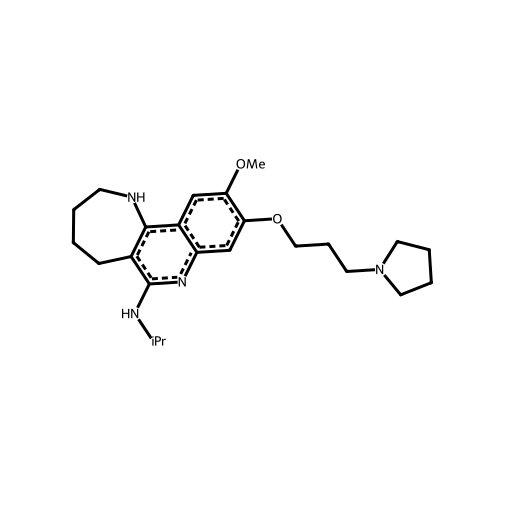 COc1cc2c3c(c(NC(C)C)nc2cc1OCCCN1CCCC1)CCCCN3